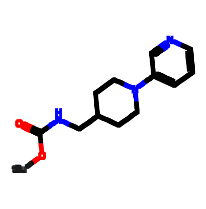 CC(C)(C)OC(=O)NCC1CCN(c2cccnc2)CC1